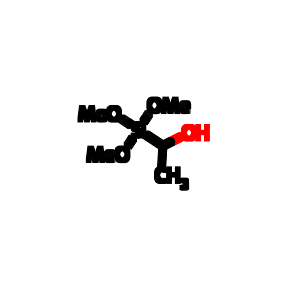 CO[Si](OC)(OC)C(C)O